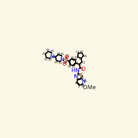 COc1ccc2nc(NC(=O)C(CC3CCCC3)c3ccc(S(=O)(=O)N4CCC(N5CCCCC5)CC4)cc3)sc2n1